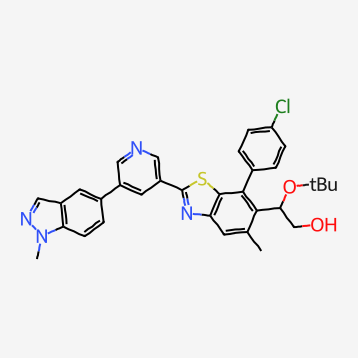 Cc1cc2nc(-c3cncc(-c4ccc5c(cnn5C)c4)c3)sc2c(-c2ccc(Cl)cc2)c1C(CO)OC(C)(C)C